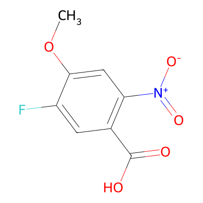 COc1cc([N+](=O)[O-])c(C(=O)O)cc1F